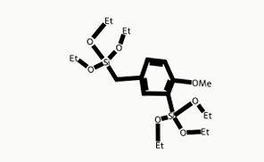 CCO[Si](Cc1ccc(OC)c([Si](OCC)(OCC)OCC)c1)(OCC)OCC